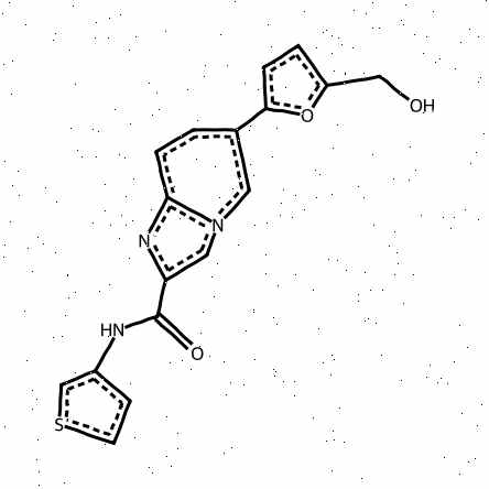 O=C(Nc1ccsc1)c1cn2cc(-c3ccc(CO)o3)ccc2n1